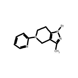 CCn1nc(C)c2c1CCN(c1ccccn1)C2